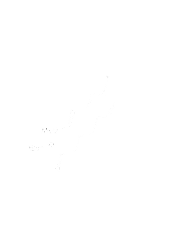 COC(=O)C(CC(=O)OC(C)(C)C)Cc1ccc(F)cc1